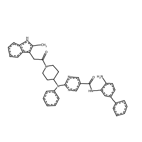 Cc1[nH]c2ccccc2c1CC(=O)N1CCC(N(c2ccccc2)c2ncc(C(=O)Nc3cc(-c4ccccc4)ccc3N)cn2)CC1